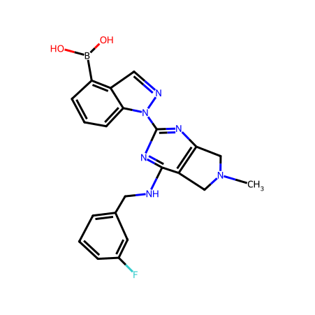 CN1Cc2nc(-n3ncc4c(B(O)O)cccc43)nc(NCc3cccc(F)c3)c2C1